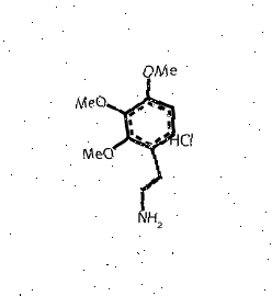 COc1ccc(CCN)c(OC)c1OC.Cl